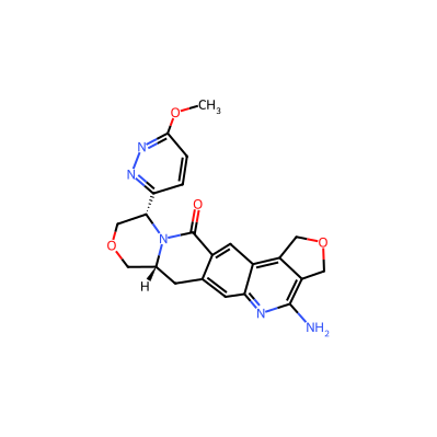 COc1ccc([C@H]2COC[C@H]3Cc4cc5nc(N)c6c(c5cc4C(=O)N32)COC6)nn1